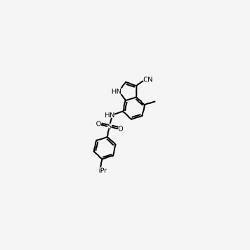 Cc1ccc(NS(=O)(=O)c2ccc(C(C)C)cc2)c2[nH]cc(C#N)c12